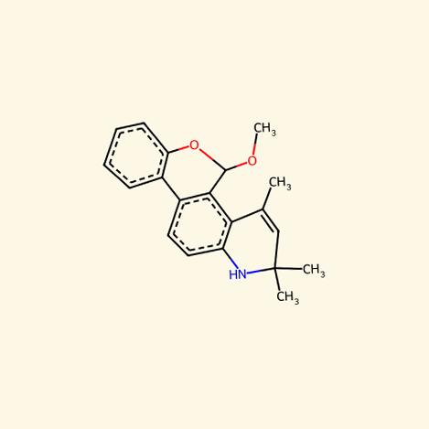 COC1Oc2ccccc2-c2ccc3c(c21)C(C)=CC(C)(C)N3